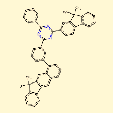 CC1(C)c2ccccc2-c2ccc(-c3nc(-c4ccccc4)nc(-c4cccc(-c5cccc6cc7c(cc56)C(C)(C)c5ccccc5-7)c4)n3)cc21